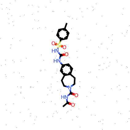 CC(=O)NC(=O)N1CCc2ccc(NC(=O)NS(=O)(=O)c3ccc(C)cc3)cc2CC1